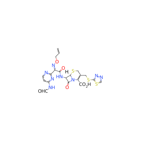 C=CCO/N=C(\C(=O)NC1C(=O)N2C(C(=O)O)=C(CSc3nncs3)CS[C@H]12)c1nccc(NC=O)n1